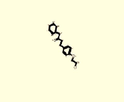 O=C(CCc1ccc(OCCCl)cc1)Cc1ccccc1